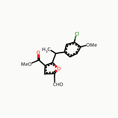 COC(=O)c1cc(C=O)oc1C(C)c1ccc(OC)c(Cl)c1